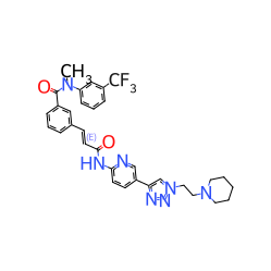 CN(C(=O)c1cccc(/C=C/C(=O)Nc2ccc(-c3cn(CCN4CCCCC4)nn3)cn2)c1)c1cccc(C(F)(F)F)c1